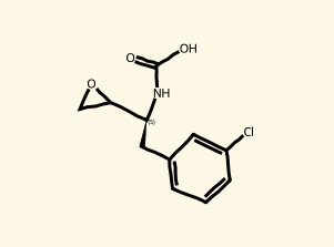 O=C(O)N[C@@H](Cc1cccc(Cl)c1)C1CO1